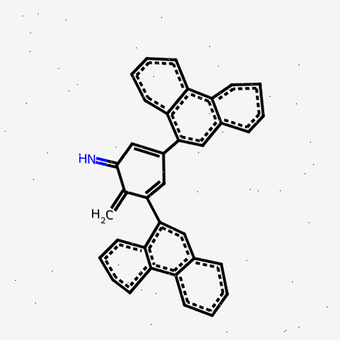 C=C1C(=N)C=C(c2cc3ccccc3c3ccccc23)C=C1c1cc2ccccc2c2ccccc12